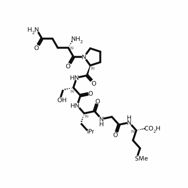 CSCC[C@H](NC(=O)CNC(=O)[C@H](CC(C)C)NC(=O)[C@H](CO)NC(=O)[C@@H]1CCCN1C(=O)[C@@H](N)CCC(N)=O)C(=O)O